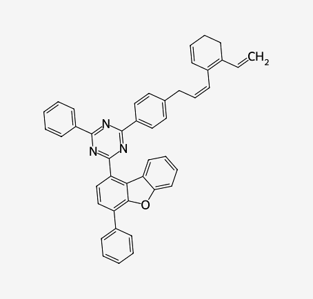 C=CC1=C(/C=C\Cc2ccc(-c3nc(-c4ccccc4)nc(-c4ccc(-c5ccccc5)c5oc6ccccc6c45)n3)cc2)C=CCC1